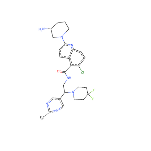 NC1CCCN(c2ccc3c(C(=O)NCC(c4cnc(C(F)(F)F)nc4)N4CCC(F)(F)CC4)c(Cl)ccc3n2)C1